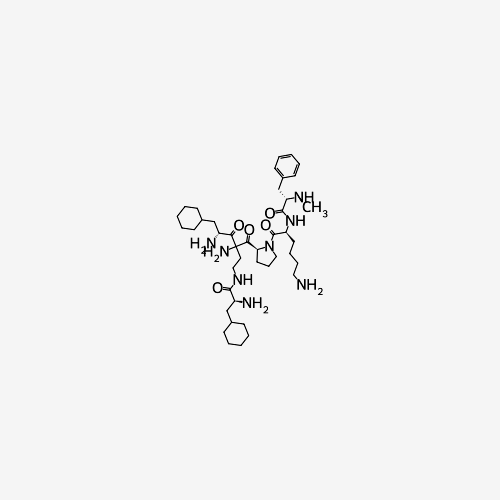 CN[C@@H](Cc1ccccc1)C(=O)N[C@@H](CCCCN)C(=O)N1CCC[C@H]1C(=O)C(N)(CCNC(=O)[C@@H](N)CC1CCCCC1)C(=O)[C@H](N)CC1CCCCC1